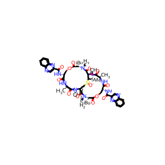 CC[C@H](C)[C@H]1C(=O)OC[C@@H](NC(=O)c2cnc3ccccc3n2)C(=O)N[C@@H](C)C(=O)N(C)[C@H]2C[S+]([O-])C(SC)[C@@H](C(=O)N1C)N(C)C(=O)[C@H](C)NC(=O)[C@H](NC(=O)c1cnc3ccccc3n1)COC(=O)[C@H]([C@@H](C)CC)N(C)C2=O